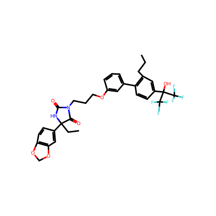 CCCc1cc(C(O)(C(F)(F)F)C(F)(F)F)ccc1-c1cccc(OCCCN2C(=O)NC(CC)(c3ccc4c(c3)OCO4)C2=O)c1